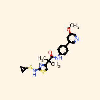 COc1cncc(-c2ccc(NC(=O)C(C)(C)c3csc(NSC4CC4)n3)cc2)c1